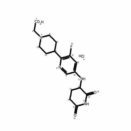 Cl.O=C(O)CN1CCC(c2ncc(NC3CCC(=O)NC3=O)cc2F)CC1